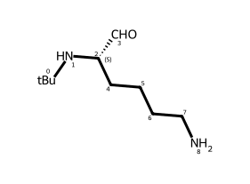 CC(C)(C)N[C@H](C=O)CCCCN